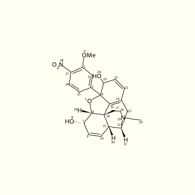 COc1cc(C23O[C@H]4[C@@H](O)C=C[C@H]5[C@H]6CC(=C2[C@]54CCN6C)C=CC3O)ccc1[N+](=O)[O-]